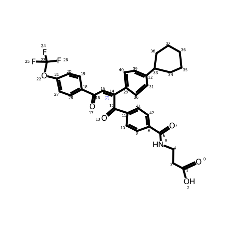 O=C(O)CCNC(=O)c1ccc(C(=O)/C(=C\C(=O)c2ccc(OC(F)(F)F)cc2)c2ccc(C3CCCCC3)cc2)cc1